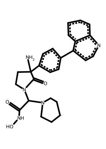 NC1(c2ccc(-c3ccnc4ccccc34)cc2)CCN(C(C(=O)NO)N2CC[CH]CC2)C1=O